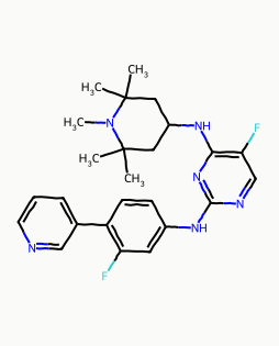 CN1C(C)(C)CC(Nc2nc(Nc3ccc(-c4cccnc4)c(F)c3)ncc2F)CC1(C)C